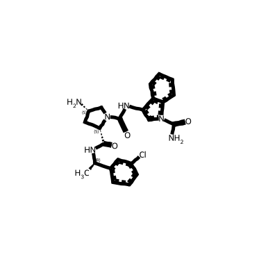 C[C@@H](NC(=O)[C@@H]1C[C@H](N)CN1C(=O)Nc1cn(C(N)=O)c2ccccc12)c1cccc(Cl)c1